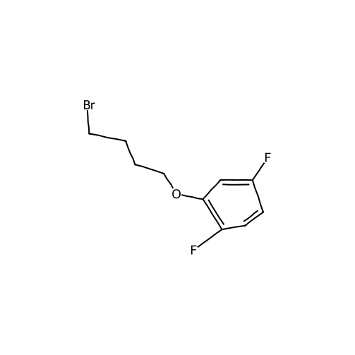 Fc1ccc(F)c(OCCCCBr)c1